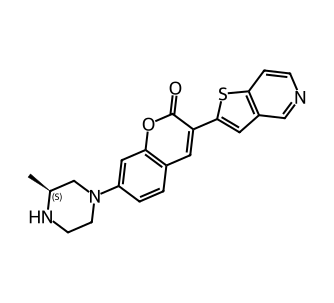 C[C@H]1CN(c2ccc3cc(-c4cc5cnccc5s4)c(=O)oc3c2)CCN1